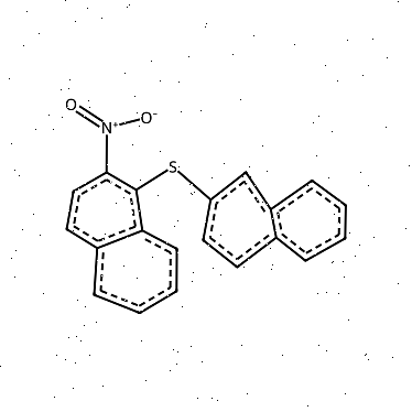 O=[N+]([O-])c1ccc2ccccc2c1Sc1ccc2ccccc2c1